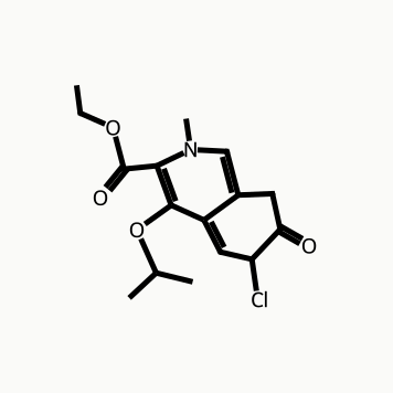 CCOC(=O)C1=C(OC(C)C)C2=CC(Cl)C(=O)CC2=CN1C